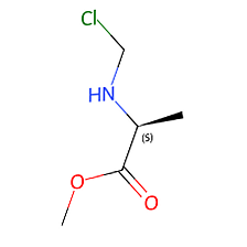 COC(=O)[C@H](C)NCCl